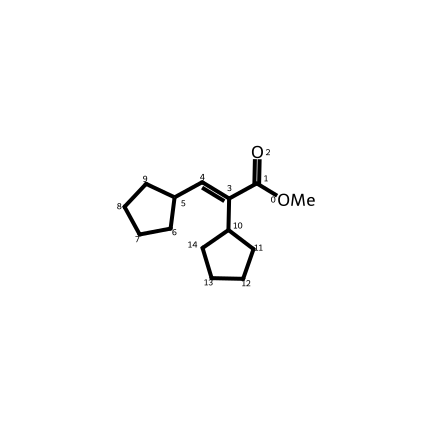 COC(=O)C(=CC1CCCC1)C1CCCC1